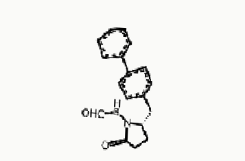 O=CBN1C(=O)CC[C@H]1Cc1ccc(-c2ccccc2)cc1